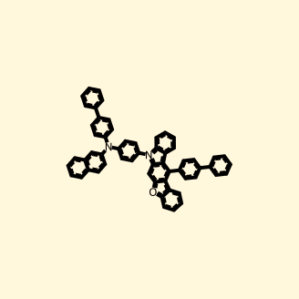 c1ccc(-c2ccc(-c3c4c(cc5c3c3ccccc3n5-c3ccc(N(c5ccc(-c6ccccc6)cc5)c5ccc6ccccc6c5)cc3)oc3ccccc34)cc2)cc1